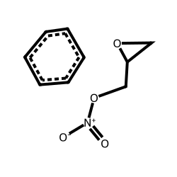 O=[N+]([O-])OCC1CO1.c1ccccc1